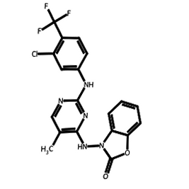 Cc1cnc(Nc2ccc(C(F)(F)F)c(Cl)c2)nc1Nn1c(=O)oc2ccccc21